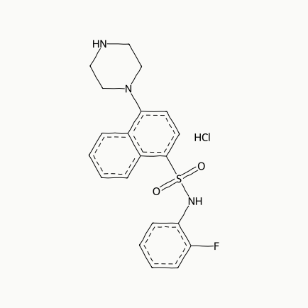 Cl.O=S(=O)(Nc1ccccc1F)c1ccc(N2CCNCC2)c2ccccc12